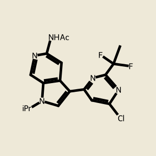 CC(=O)Nc1cc2c(-c3cc(Cl)nc(C(C)(F)F)n3)cn(C(C)C)c2cn1